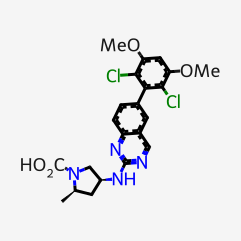 COc1cc(OC)c(Cl)c(-c2ccc3nc(N[C@H]4C[C@@H](C)N(C(=O)O)C4)ncc3c2)c1Cl